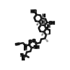 C#CCNC(=O)C(CCC1(C)N=N1)NC(=O)CC[C@@H](C)[C@H]1CC[C@H]2[C@@H]3C(O)C[C@@H]4C[C@H](O)CC[C@]4(C)C3CC[C@]12C